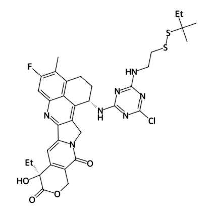 CCC(C)(C)SSCCNc1nc(Cl)nc(N[C@H]2CCc3c(C)c(F)cc4nc5c(c2c34)Cn2c-5cc3c(c2=O)COC(=O)[C@]3(O)CC)n1